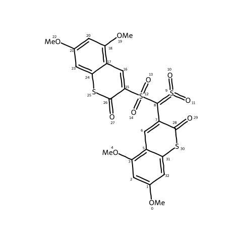 COc1cc(OC)c2cc(C(=S(=O)=O)S(=O)(=O)c3cc4c(OC)cc(OC)cc4sc3=O)c(=O)sc2c1